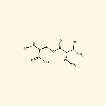 CN[C@@H](COC(=O)[C@@H](NC)[C@@H](C)O)C(=O)O